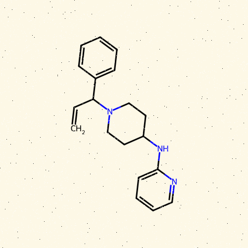 C=CC(c1ccccc1)N1CCC(Nc2ccccn2)CC1